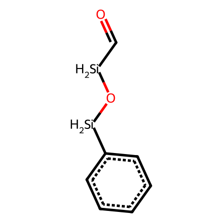 O=C[SiH2]O[SiH2]c1ccccc1